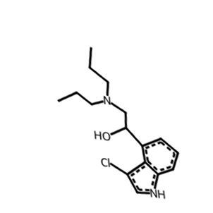 CCCN(CCC)CC(O)c1cccc2[nH]cc(Cl)c12